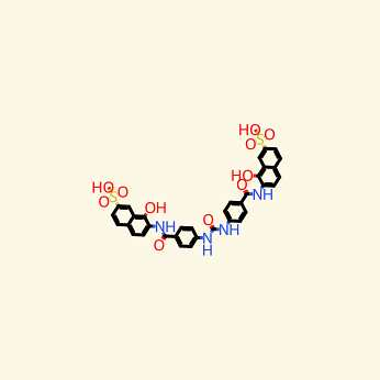 O=C(Nc1ccc(C(=O)Nc2ccc3ccc(S(=O)(=O)O)cc3c2O)cc1)Nc1ccc(C(=O)Nc2ccc3ccc(S(=O)(=O)O)cc3c2O)cc1